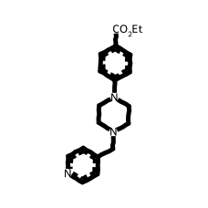 CCOC(=O)c1ccc(N2CCN(Cc3ccncc3)CC2)cc1